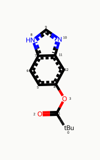 CC(C)(C)C(=O)Oc1ccc2[nH]cnc2c1